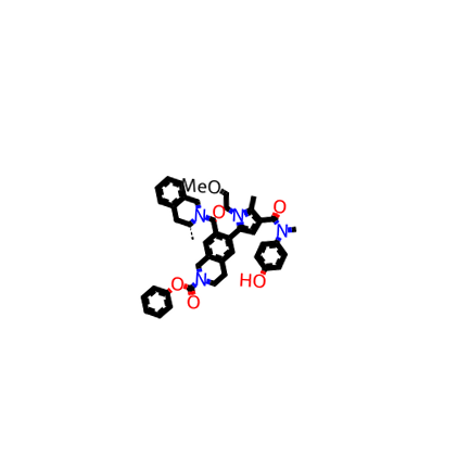 COCCn1c(-c2cc3c(cc2C(=O)N2Cc4ccccc4C[C@H]2C)CN(C(=O)Oc2ccccc2)CC3)cc(C(=O)N(C)c2ccc(O)cc2)c1C